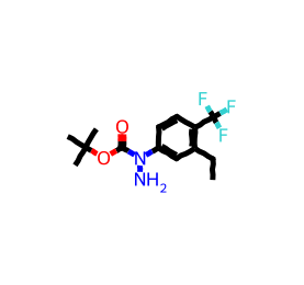 CCc1cc(N(N)C(=O)OC(C)(C)C)ccc1C(F)(F)F